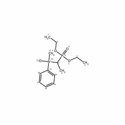 CCOP(=O)(OCC)C(C)[N+](C)([O])c1ccccc1